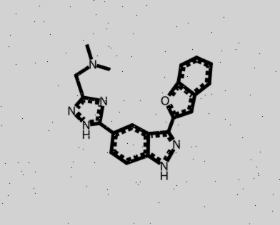 CN(C)Cc1n[nH]c(-c2ccc3[nH]nc(-c4cc5ccccc5o4)c3c2)n1